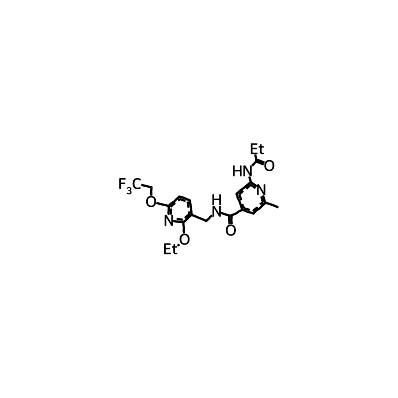 CCOc1nc(OCC(F)(F)F)ccc1CNC(=O)c1cc(C)nc(NC(=O)CC)c1